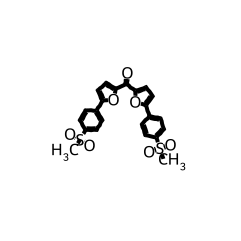 CS(=O)(=O)c1ccc(-c2ccc(C(=O)c3ccc(-c4ccc(S(C)(=O)=O)cc4)o3)o2)cc1